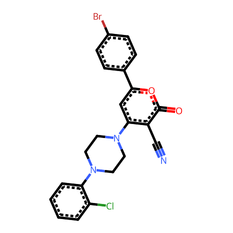 N#Cc1c(N2CCN(c3ccccc3Cl)CC2)cc(-c2ccc(Br)cc2)oc1=O